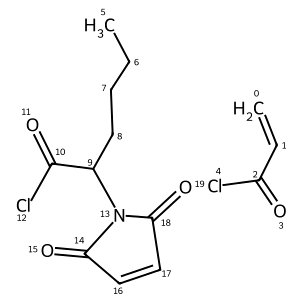 C=CC(=O)Cl.CCCCC(C(=O)Cl)N1C(=O)C=CC1=O